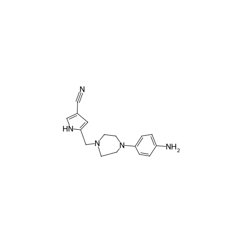 N#Cc1c[nH]c(CN2CCN(c3ccc(N)cc3)CC2)c1